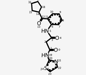 O=C(CC(=O)Nc1ccccc1C(=O)C1CCCC1)Nc1nccs1